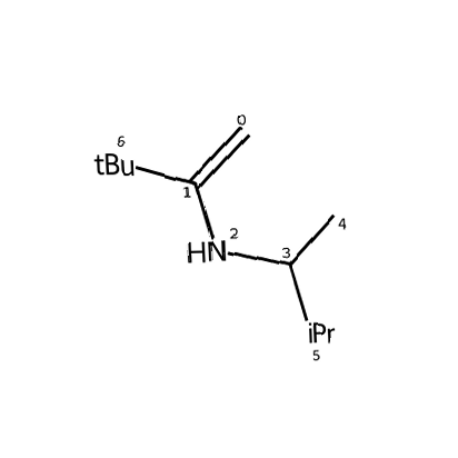 C=C(NC(C)C(C)C)C(C)(C)C